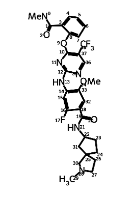 CNC(=O)c1ccccc1Oc1nc(Nc2cc(F)c(C(=O)NC3CCC4(CCN(C)C4)C3)cc2OC)ncc1C(F)(F)F